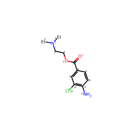 CCN(CC)CCOC(=O)c1ccc(N)c(Cl)c1